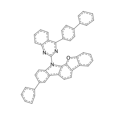 c1ccc(-c2ccc(-c3nc(-n4c5ccc(-c6ccccc6)cc5c5ccc6c7ccccc7oc6c54)nc4ccccc34)cc2)cc1